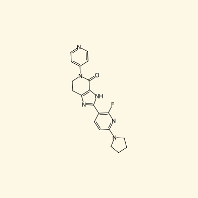 O=C1c2[nH]c(-c3ccc(N4CCCC4)nc3F)nc2CCN1c1ccncc1